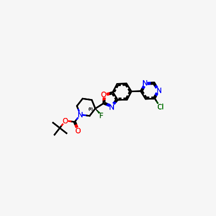 CC(C)(C)OC(=O)N1CCC[C@](F)(c2nc3cc(-c4cc(Cl)ncn4)ccc3o2)C1